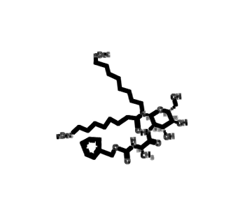 CCCCCCCCCCCCCCCCCCN(C(=O)CCCCCCCCCCCCCCCCC)[C@@H]1O[C@H](CO)[C@H](O)[C@H](O)[C@H]1NC(=O)[C@H](C)NC(=O)OCc1ccccc1